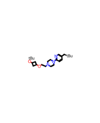 CC(C)(C)Cc1ccc(N2CCN(CCOC3CC(OC(C)(C)C)C3)CC2)nc1